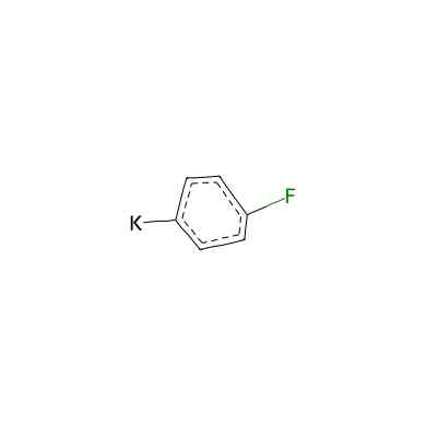 Fc1cc[c]([K])cc1